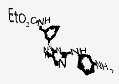 CCOC(=O)NCc1cccc(-n2nnc3cnc(Nc4cccc(N)c4)nc32)c1